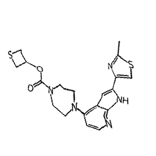 Cc1nc(-c2cc3c(N4CCN(C(=O)OC5CSC5)CC4)ccnc3[nH]2)cs1